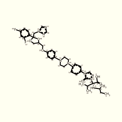 CCC(C)N[C@](C(=O)O)(C(C)C)n1ncn(-c2ccc(N3CCN(c4ccc(OCC5COC(Cn6cncn6)(c6ccc(F)cc6F)O5)cc4)CC3)cc2)c1=O